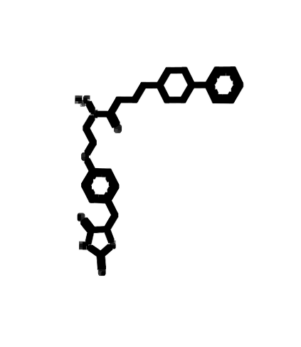 CN(CCOc1ccc(CC2SC(=O)NC2=O)cc1)C(=O)CCCC1CCC(c2ccccc2)CC1